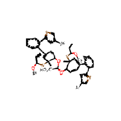 C=CC(OCC)SC1(C)C=C(c2ccccc2-c2cc(C(C)=O)cs2)C=CC1OC(OC1C=CC(c2ccccc2-c2cc(C(C)=O)cs2)=CC1(C)SC(C=C)OCC)C(=O)O